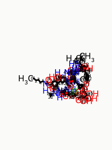 CCCCCCNC(=O)Oc1cc(O)c2c(c1)[C@@H](C(=O)NC1CC1)NC(=O)[C@H]1NC(=O)[C@H](NC(=O)[C@@H]3NC(=O)[C@H](CC(N)=O)NC(=O)[C@H](NC(=O)[C@@H](CC(C)C)NC)[C@H](O)c4ccc(c(C)c4)Oc4cc3cc(c4O[C@@H]3O[C@H](CO)[C@@H](O)[C@H](O)[C@H]3O)Oc3ccc(cc3Cl)[C@H]1O)c1ccc(O)c-2c1